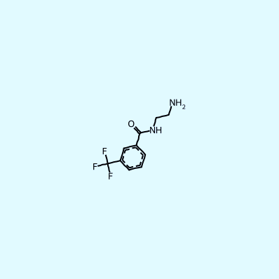 NCCNC(=O)c1cccc(C(F)(F)F)c1